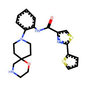 O=C(Nc1ccccc1N1CCC2(CC1)CNCCO2)c1csc(-c2cccs2)n1